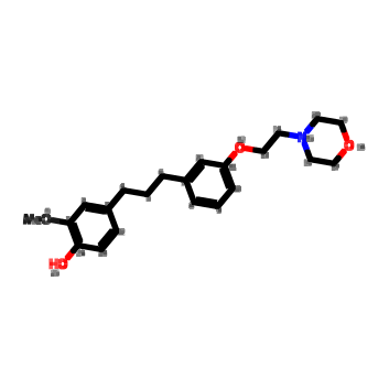 COc1cc(CCCc2cccc(OCCN3CCOCC3)c2)ccc1O